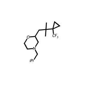 CC(C)CN1CCOC(CC(C)(C)C2(C(F)(F)F)CC2)C1